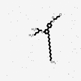 CCCCCCCCCCCCCCCc1cc(OCC(CC)CCCC)cc(-c2ccc(COC(=O)CCCCl)cc2)c1